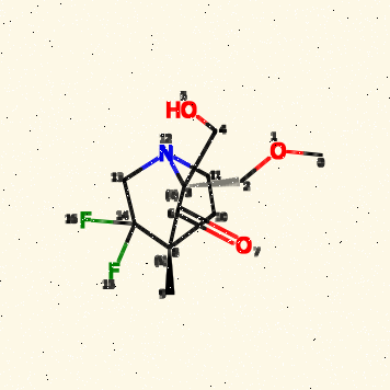 COC[C@]1(CO)C(=O)[C@]2(C)CCN1CC2(F)F